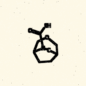 O=C(S)N1CC2CCC1COC2